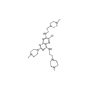 CN1CCN(CCNc2nc3nc(N4CCN(C)CC4)nc(NCCN4CCN(C)CC4)c3nc2Cl)CC1